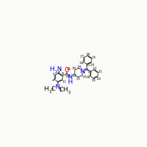 CN(C)c1ccc(N)c(C(=O)NC2CCN(C(c3ccccc3)c3ccccc3)CC2)c1